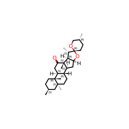 C[C@@H]1CC[C@@]2(OC1)O[C@H]1C[C@H]3[C@@H]4CC[C@@]5(C)C[C@@H](C)CC[C@]5(C)[C@H]4CC(=O)[C@]3(C)[C@H]1[C@@H]2C